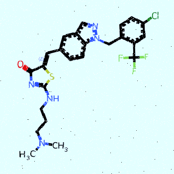 CN(C)CCCNC1=NC(=O)/C(=C/c2ccc3c(cnn3Cc3ccc(Cl)cc3C(F)(F)F)c2)S1